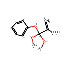 C=C(C(=O)O)C(OCCC)(OCCC)Oc1ccccc1